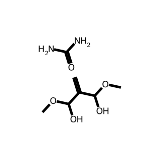 C=C(C(O)OC)C(O)OC.NC(N)=O